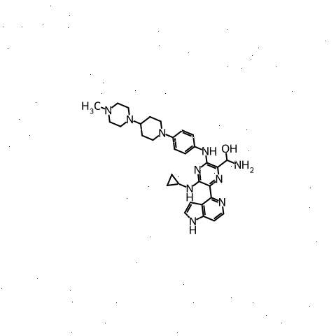 CN1CCN(C2CCN(c3ccc(Nc4nc(NC5CC5)c(-c5nccc6[nH]ccc56)nc4C(N)O)cc3)CC2)CC1